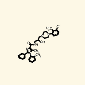 Cc1ccccc1-n1c(-c2ccccc2)nc(C(=O)NCC(O)CN2CCN(c3cccc(Cl)c3C)CC2)c1C